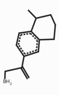 BCC(=C)c1ccc2c(c1)CCCC2C